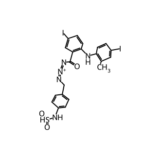 Cc1cc(I)ccc1Nc1ccc(I)cc1C(=O)N=[N+]=NCc1ccc(N[SH](=O)=O)cc1